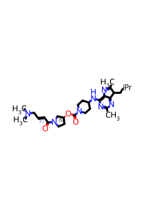 CC1=Nc2c(NC3CCN(C(=O)O[C@H]4CCN(C(=O)/C=C/CN(C)C)C4)CC3)nc(C)nc2C1CC(C)C